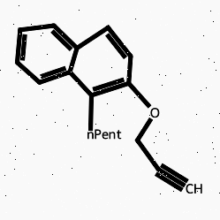 C#CCOc1ccc2ccccc2c1CCCCC